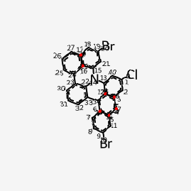 Clc1cc(Sc2cccc(Br)c2)cc(N(c2cccc(Br)c2)c2c(-c3ccccc3)cccc2-c2ccccc2)c1